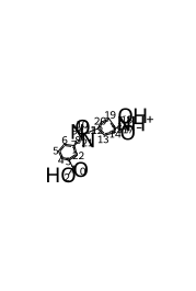 O=C(O)c1cccc(-c2noc(-c3ccc([NH+]([O-])O)cc3)n2)c1